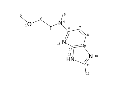 COCCN(C)c1ccc2nc(C)[nH]c2n1